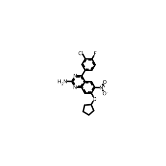 Nc1nc(-c2ccc(F)c(Cl)c2)c2cc([N+](=O)[O-])c(OC3CCCC3)cc2n1